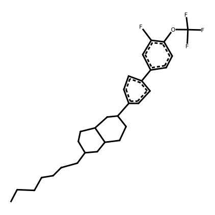 CCCCCCCC1CCC2CC(c3ccc(-c4ccc(OC(F)(F)F)c(F)c4)cc3)CCC2C1